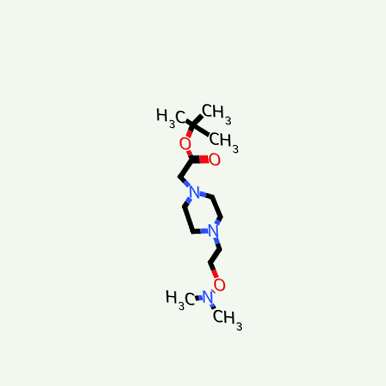 CN(C)OCCN1CCN(CC(=O)OC(C)(C)C)CC1